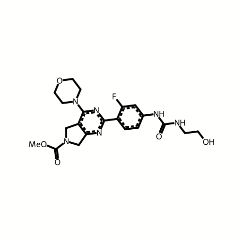 COC(=O)N1Cc2nc(-c3ccc(NC(=O)NCCO)cc3F)nc(N3CCOCC3)c2C1